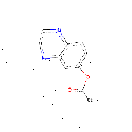 CCC(=O)Oc1ccc2nccnc2c1